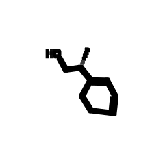 C[C@@H](CO)C1=CC=CCC1